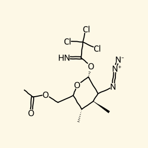 CC(=O)OCC1O[C@H](OC(=N)C(Cl)(Cl)Cl)C(N=[N+]=[N-])[C@@H](C)[C@@H]1C